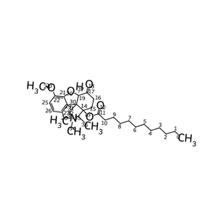 CCCCCCCCCCCC(=O)OC12CCC(=O)[C@@H]3Oc4c(OC)ccc(C)c4C31CCN(C)C2C